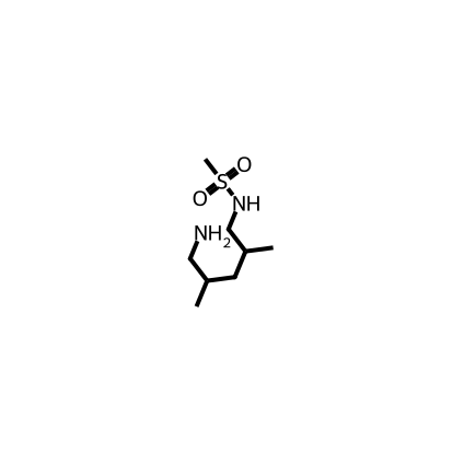 CC(CN)CC(C)CNS(C)(=O)=O